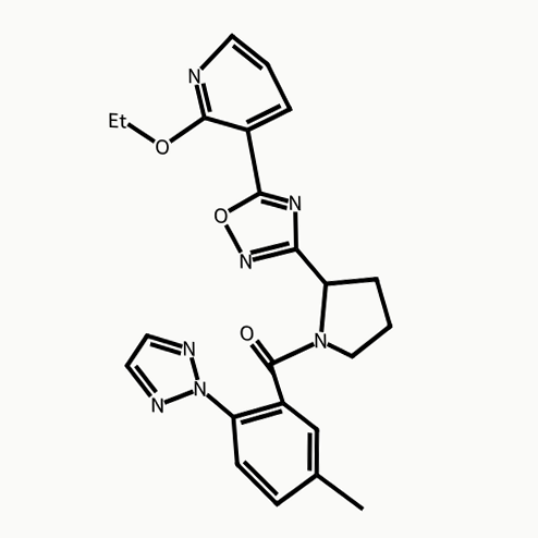 CCOc1ncccc1-c1nc(C2CCCN2C(=O)c2cc(C)ccc2-n2nccn2)no1